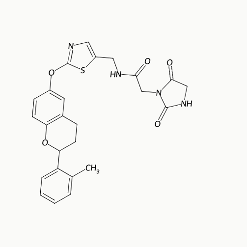 Cc1ccccc1C1CCc2cc(Oc3ncc(CNC(=O)CN4C(=O)CNC4=O)s3)ccc2O1